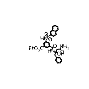 CCOC(=O)c1cc(NS(=O)(=O)c2ccc3ccccc3c2)cc(C(=O)NC(O)(CC(N)=O)Cc2ccccc2)c1